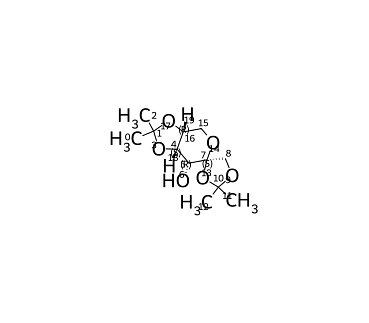 CC1(C)O[C@H]2[C@@H](O)[C@@]3(COC(C)(C)O3)OC[C@H]2O1